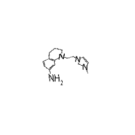 CN1C=CN(CCN2CCCc3ccc(N)cc32)C1